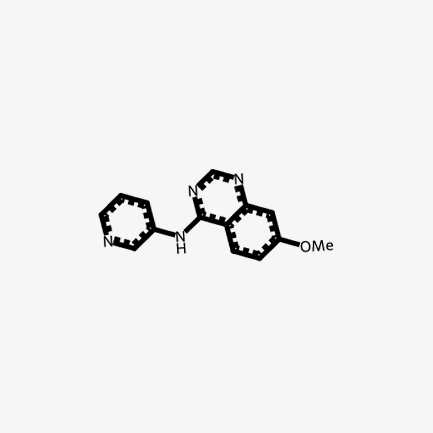 COc1ccc2c(Nc3cccnc3)ncnc2c1